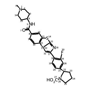 CN1CCC(NC(=O)c2ccc3c(c2)sc2nc(-c4ccc([C@H]5CCCN5C(=O)O)cc4F)cn23)CC1